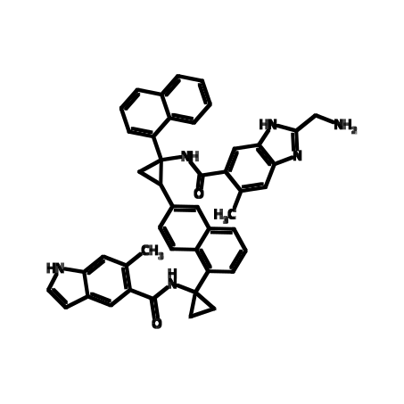 Cc1cc2[nH]ccc2cc1C(=O)NC1(c2cccc3cc(C4CC4(NC(=O)c4cc5[nH]c(CN)nc5cc4C)c4cccc5ccccc45)ccc23)CC1